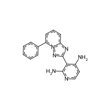 Nc1ccnc(N)c1-c1nc2cccc(-c3ccccc3)n2n1